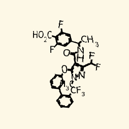 CC(NC(=O)c1c(C(F)F)nn(C)c1Oc1cccc(-c2ccccc2C(F)(F)F)c1)c1cc(F)c(C(=O)O)c(F)c1